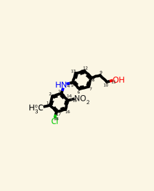 Cc1cc(Nc2ccc(CCO)cc2)c([N+](=O)[O-])cc1Cl